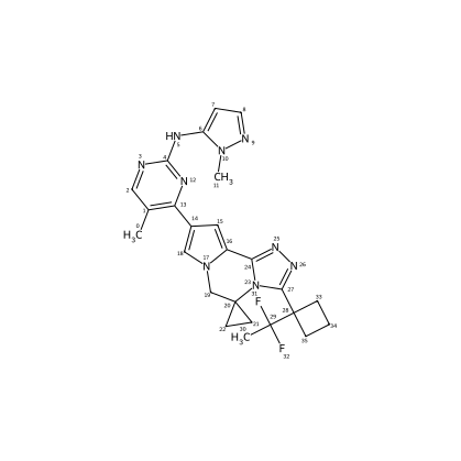 Cc1cnc(Nc2ccnn2C)nc1-c1cc2n(c1)CC1(CC1)n1c-2nnc1C1(C(C)(F)F)CCC1